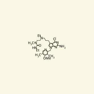 CCNC(=O)N(C)CCN(CC)CCCc1cn(Cc2ncc(C)c(OC)c2C)c2nc(N)nc(Cl)c12